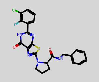 O=C(NCc1ccccc1)C1CCCN1c1nc2c(=O)[nH]c(-c3cccc(Cl)c3F)nc2s1